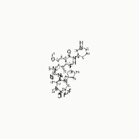 COc1cc(C(=O)NC2CCCNC2)c(F)cc1Nc1ncc2c(n1)N(C1CCCC1)CC(F)(F)C(=O)N2C